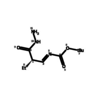 CC[C@@H](C=NC(=O)OC(C)(C)C)C(=O)NN